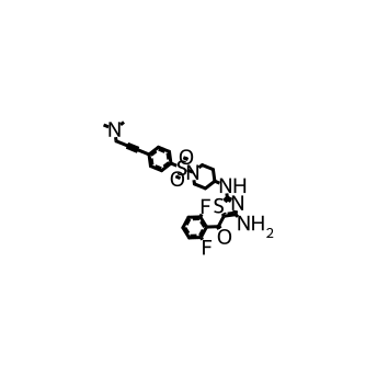 CN(C)CC#Cc1ccc(S(=O)(=O)N2CCC(Nc3nc(N)c(C(=O)c4c(F)cccc4F)s3)CC2)cc1